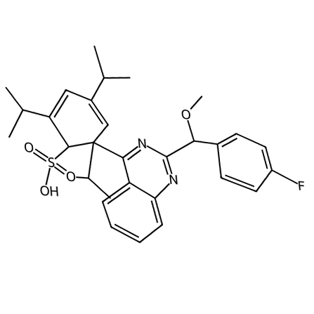 COC(c1ccc(F)cc1)c1nc(C2(C(C)C)C=C(C(C)C)C=C(C(C)C)C2S(=O)(=O)O)c2ccccc2n1